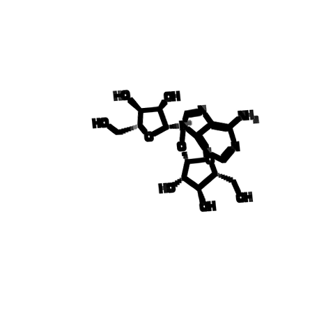 Nc1ncnc2c1N=C[N+]2(O[C@@H]1O[C@H](CO)[C@@H](O)[C@@H]1O)[C@@H]1O[C@H](CO)[C@@H](O)[C@H]1O